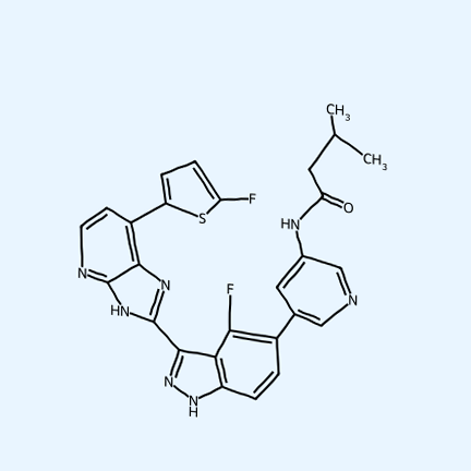 CC(C)CC(=O)Nc1cncc(-c2ccc3[nH]nc(-c4nc5c(-c6ccc(F)s6)ccnc5[nH]4)c3c2F)c1